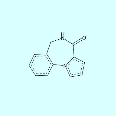 O=C1NCc2ccccc2-n2cccc21